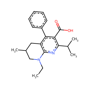 CCN1CC(C)Cc2c1nc(C(C)C)c(C(=O)O)c2-c1ccccc1